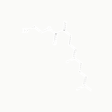 C=C(CC/C=C(\C)CCC=C(C)C)C(=O)OCCO